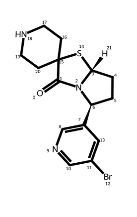 O=C1N2[C@@H](CC[C@H]2c2cncc(Br)c2)SC12CCNCC2